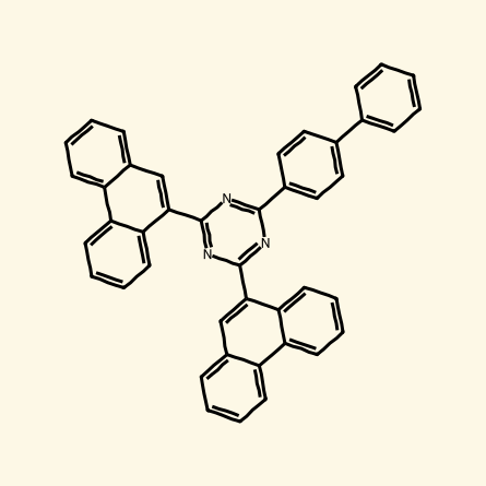 c1ccc(-c2ccc(-c3nc(-c4cc5ccccc5c5ccccc45)nc(-c4cc5ccccc5c5ccccc45)n3)cc2)cc1